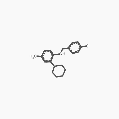 Cc1ccc(NCc2ccc(Cl)cc2)c(C2CCCCC2)c1